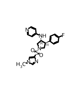 Cn1cnc(S(=O)(=O)N2C[C@H](Nc3ccncc3)[C@@H](c3ccc(F)cc3)C2)c1